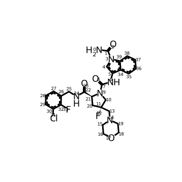 NC(=O)n1cc(NC(=O)N2C[C@@](F)(CN3CCOCC3)C[C@H]2C(=O)NCc2cccc(Cl)c2F)c2ccccc21